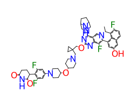 CCc1c(F)ccc2cc(O)cc(-c3ncc4c(N5CC6CCC(C5)N6)nc(OCC5(CN6CCC(OC7CCN(c8cc(F)c(C9CCC(=O)NC9=O)c(F)c8)CC7)CC6)CC5)nc4c3F)c12